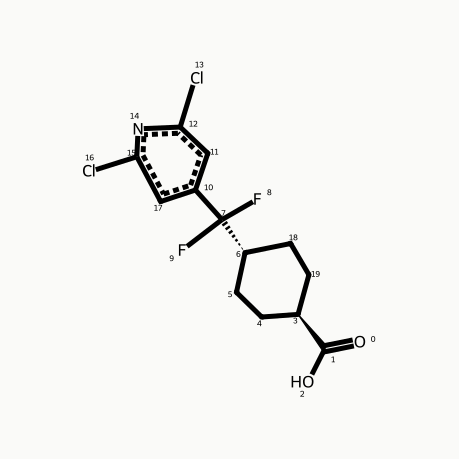 O=C(O)[C@H]1CC[C@H](C(F)(F)c2cc(Cl)nc(Cl)c2)CC1